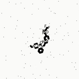 CCN1CCN(C(=O)N(Cc2cn3ccc(-c4nnc(C(F)F)o4)cc3n2)c2ccccc2)CC1